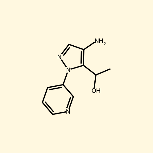 CC(O)c1c(N)cnn1-c1cccnc1